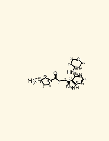 C[C@@H]1CCN(C(=O)CCc2n[nH]c3ccnc(NC4CCOCC4)c23)C1